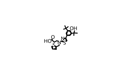 CC(C)(C)c1cc(-c2csc(N(CCC(=O)O)Cc3cccs3)n2)cc(C(C)(C)C)c1O